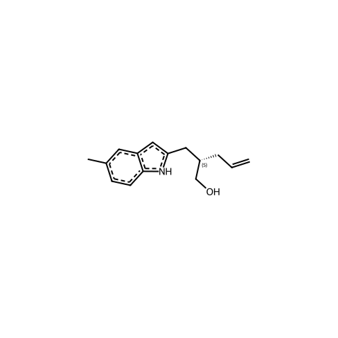 C=CC[C@H](CO)Cc1cc2cc(C)ccc2[nH]1